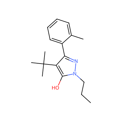 CCCn1nc(-c2ccccc2C)c(C(C)(C)C)c1O